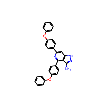 Nc1n[nH]c2cc(-c3ccc(Oc4ccccc4)cc3)nc(-c3ccc(Oc4ccccc4)cc3)c12